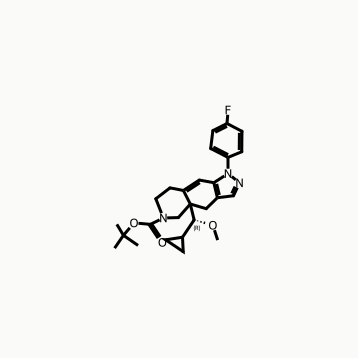 CO[C@H](C1CC1)C12Cc3cnn(-c4ccc(F)cc4)c3C=C1CCN(C(=O)OC(C)(C)C)C2